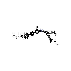 C=CCOc1ncc(-c2ccc(-c3ccc(/C=C/CCCC(C)OCCCCC)c(F)c3)cc2)cn1